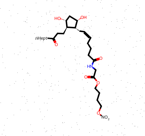 CCCCCCCC(=O)CC[C@@H]1[C@@H](C/C=C\CCCC(=O)NCC(=O)OCCCCO[N+](=O)[O-])[C@@H](O)C[C@H]1O